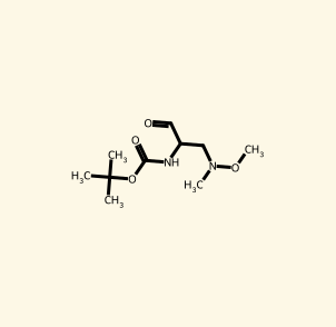 CON(C)CC(C=O)NC(=O)OC(C)(C)C